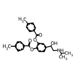 Cc1ccc(C(=O)Oc2ccc(C(O)CNC(C)C)cc2OC(=O)c2ccc(C)cc2)cc1